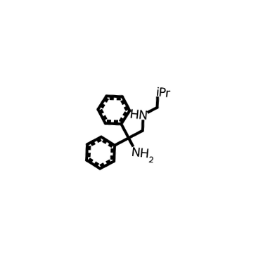 CC(C)CNCC(N)(c1ccccc1)c1ccccc1